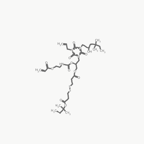 C=CCn1c(=O)n(CC(O)CC(C)(C)CC)c(=O)n(CC(COC(=O)CCSSCCC(=O)OC(C)(C)CC)OC(=O)NCCOC(=O)C=C)c1=O